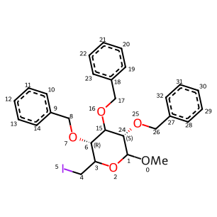 COC1OC(CI)[C@H](OCc2ccccc2)C(OCc2ccccc2)[C@@H]1OCc1ccccc1